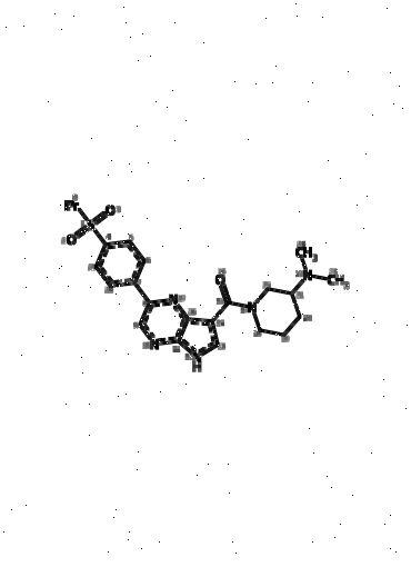 CC(C)S(=O)(=O)c1ccc(-c2cnc3[nH]cc(C(=O)N4CCCC(N(C)C)C4)c3n2)cc1